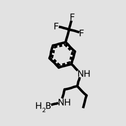 BNCC(CC)Nc1cccc(C(F)(F)F)c1